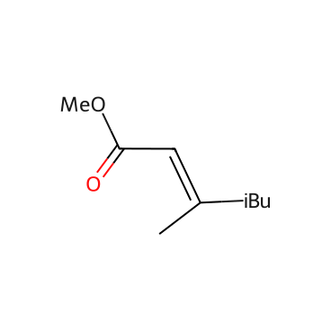 CCC(C)/C(C)=C/C(=O)OC